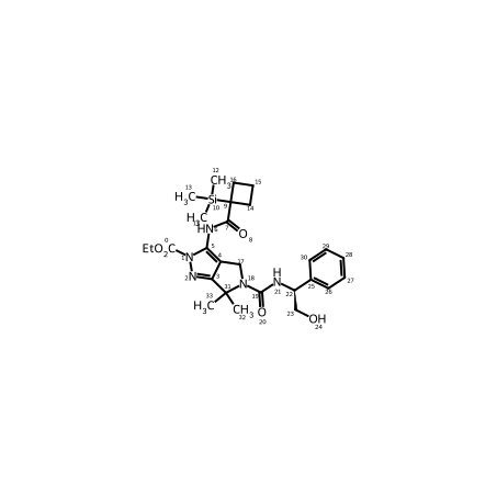 CCOC(=O)n1nc2c(c1NC(=O)C1([Si](C)(C)C)CCC1)CN(C(=O)N[C@H](CO)c1ccccc1)C2(C)C